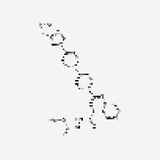 CC(=O)NCc1cc(-c2ccc(-c3ccc(-c4cc(C(=O)NNC(=O)OC(C)(C)C)c5cnccc5n4)cc3)cc2)no1